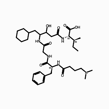 CC[C@H](C)[C@H](NC(=O)CC(O)C(CC1CCCCC1)NC(=O)CNC(=O)[C@H](Cc1ccccc1)NC(=O)CCCN(C)C)C(=O)O